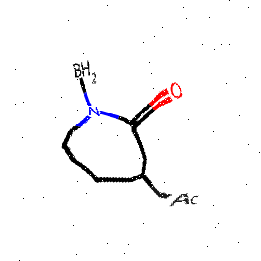 BN1CCC(C(C)=O)C1=O